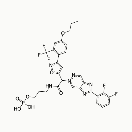 CCCOc1ccc(-c2cc(C(C(=O)NCCCOP(=O)(O)O)n3cc4nc(-c5cccc(F)c5F)nc-4cn3)on2)c(C(F)(F)F)c1